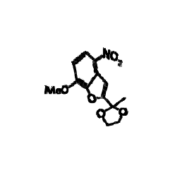 COc1ccc([N+](=O)[O-])c2cc(C3(C)OCCO3)oc12